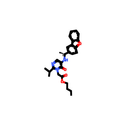 CCCCOC(=O)Cn1c(C(C)C)ncc(N[C@H](C)c2ccc3oc4ccccc4c3c2)c1=O